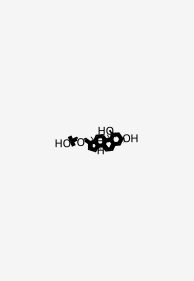 CC(C)(O)COCC1=CC[C@H]2C3=CC=C4C[C@@H](O)C[C@H](O)[C@]4(C)[C@H]3CC[C@]12C